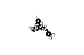 Cc1cc(F)ccc1C1CC(Cn2cc[nH]c2=N)CC(C(=O)NCc2ccc(Cl)c(Cl)c2)N1